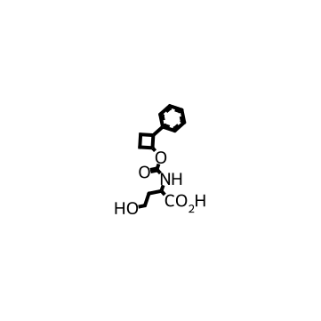 O=C(NC(CCO)C(=O)O)OC1CCC1c1ccccc1